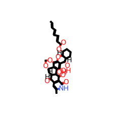 C/C=C/C=C/C=C/C(=O)O[C@@H]1CCC[C@H]2C(=O)c3c(O)c4c5c(c3O[C@H]12)OCO[C@@H]5C[C@@H]1C(=O)c2cc(C)[nH]c(=O)c2C(=O)[C@]41O